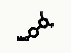 COC1CCC(c2cc(F)cc(F)c2)CC1